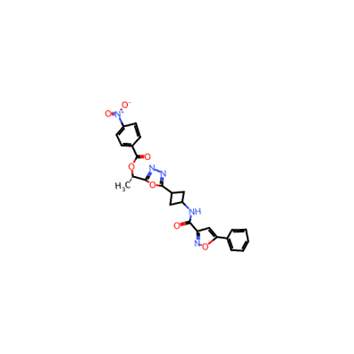 C[C@H](OC(=O)c1ccc([N+](=O)[O-])cc1)c1nnc(C2CC(NC(=O)c3cc(-c4ccccc4)on3)C2)o1